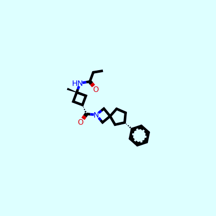 CCC(=O)N[C@]1(C)C[C@H](C(=O)N2CC3(CC[C@H](c4ccccc4)C3)C2)C1